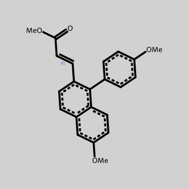 COC(=O)/C=C/c1ccc2cc(OC)ccc2c1-c1ccc(OC)cc1